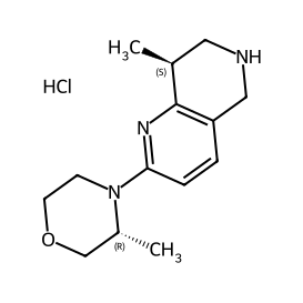 C[C@@H]1COCCN1c1ccc2c(n1)[C@@H](C)CNC2.Cl